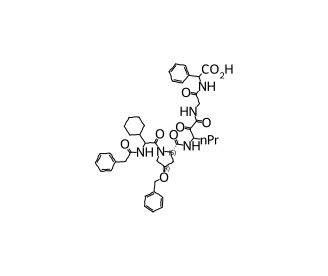 CCCC(NC(=O)[C@@H]1C[C@@H](OCc2ccccc2)CN1C(=O)C(NC(=O)Cc1ccccc1)C1CCCCC1)C(=O)C(=O)NCC(=O)NC(C(=O)O)c1ccccc1